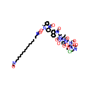 C=CCN=C=O.CC(C)N=C=O.CCCCCCCCCCCCCCCCCCN=C=O.CCCCN=C=O.CCCN=C=O.CCN=C=O.CCOC(=O)CN=C=O.CN=C=O.C[C@H](N=C=O)c1ccccc1.O=C=NC1CCCCC1.O=C=NCCCl.O=C=Nc1cccc2ccccc12